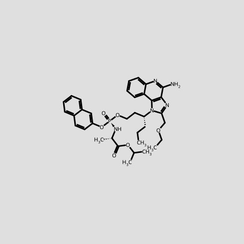 CCC[C@H](CCO[P@](=O)(N[C@@H](C)C(=O)OC(C)C)Oc1ccc2ccccc2c1)n1c(COCC)nc2c(N)nc3ccccc3c21